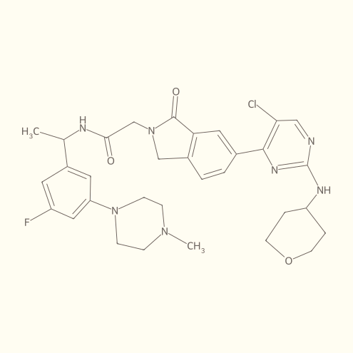 CC(NC(=O)CN1Cc2ccc(-c3nc(NC4CCOCC4)ncc3Cl)cc2C1=O)c1cc(F)cc(N2CCN(C)CC2)c1